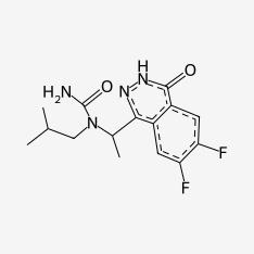 CC(C)CN(C(N)=O)C(C)c1n[nH]c(=O)c2cc(F)c(F)cc12